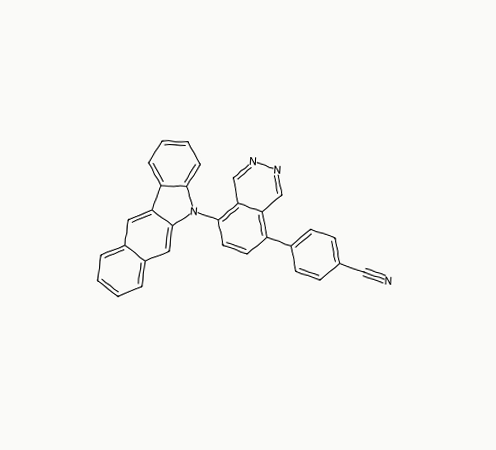 N#Cc1ccc(-c2ccc(-n3c4ccccc4c4cc5ccccc5cc43)c3cnncc23)cc1